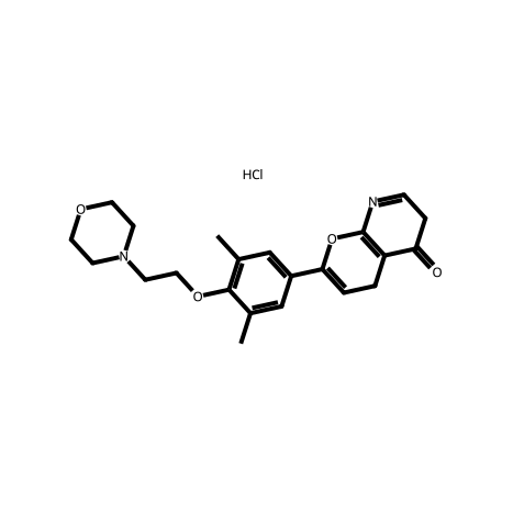 Cc1cc(C2=CCC3=C(N=CCC3=O)O2)cc(C)c1OCCN1CCOCC1.Cl